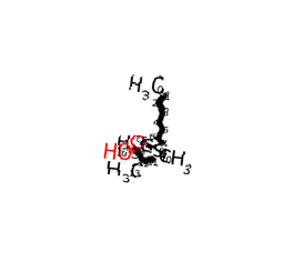 CCCCCCCC[Si](C)(C)C=C(C)C(=O)O